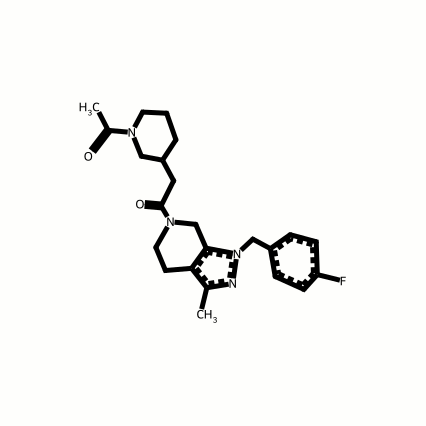 CC(=O)N1CCCC(CC(=O)N2CCc3c(C)nn(Cc4ccc(F)cc4)c3C2)C1